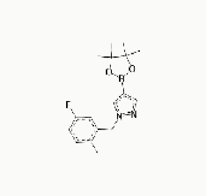 Cc1ccc(F)cc1Cn1cc(B2OC(C)(C)C(C)(C)O2)cn1